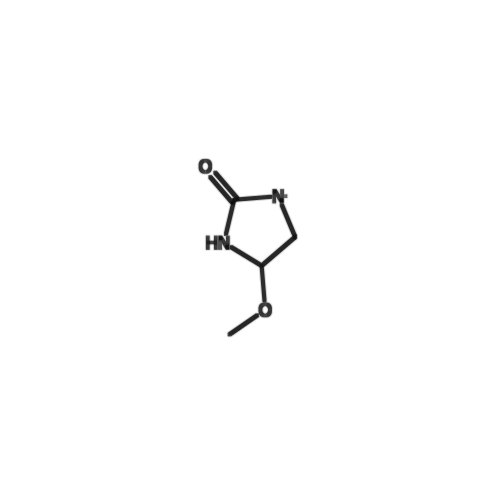 COC1C[N]C(=O)N1